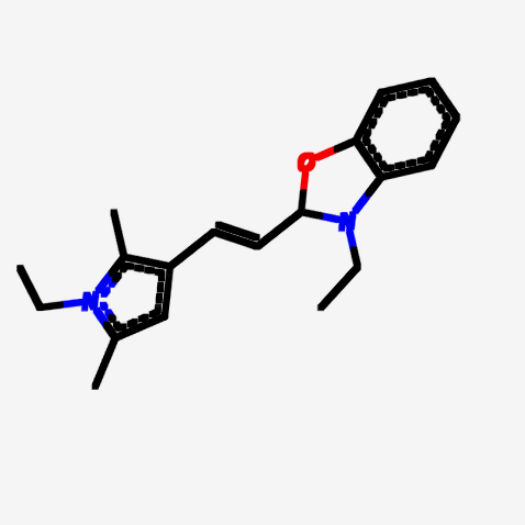 CCN1c2ccccc2OC1C=Cc1cc(C)n(CC)c1C